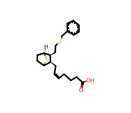 O=C(O)CCC/C=C\C[C@H]1C2CC[C@H](S2)[C@H]1CCSCc1ccccc1